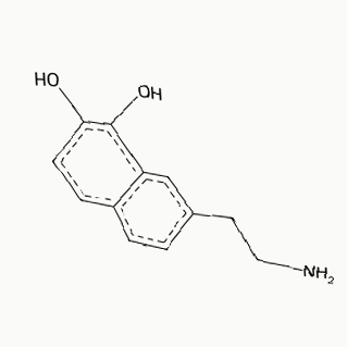 NCCc1ccc2ccc(O)c(O)c2c1